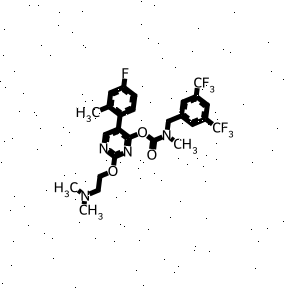 Cc1cc(F)ccc1-c1cnc(OCCN(C)C)nc1OC(=O)N(C)Cc1cc(C(F)(F)F)cc(C(F)(F)F)c1